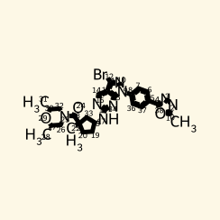 Cc1nnc(-c2ccc(-n3nc(Br)c4cnc(N[C@@H]5CCC(C)(C(=O)N6C[C@@H](C)O[C@H](C)C6)C5)nc43)cc2)o1